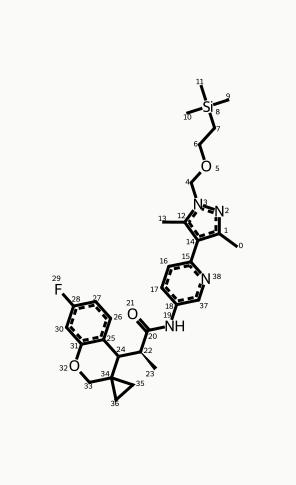 Cc1nn(COCC[Si](C)(C)C)c(C)c1-c1ccc(NC(=O)[C@@H](C)C2c3ccc(F)cc3OCC23CC3)cn1